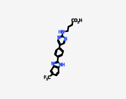 O=C(O)CCCNc1ncc(-c2ccc(-c3nc4cc(C(F)(F)F)ccc4[nH]3)cc2)cn1